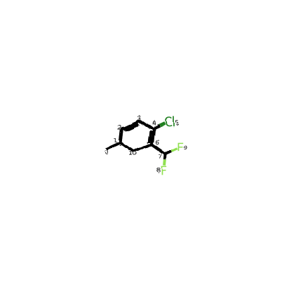 C[C]1C=CC(Cl)=C(C(F)F)C1